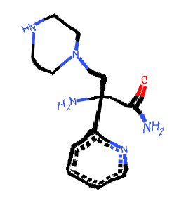 NC(=O)C(N)(CN1CCNCC1)c1ccccn1